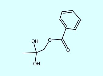 CC(O)(O)COC(=O)c1ccccc1